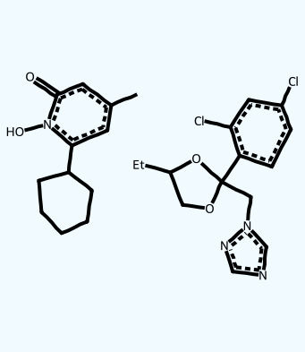 CCC1COC(Cn2cncn2)(c2ccc(Cl)cc2Cl)O1.Cc1cc(C2CCCCC2)n(O)c(=O)c1